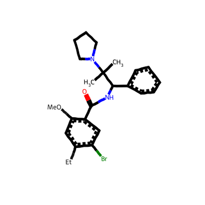 CCc1cc(OC)c(C(=O)NC(c2ccccc2)C(C)(C)N2CCCC2)cc1Br